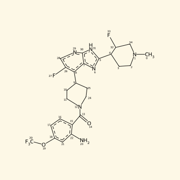 CN1CCC(c2nc3c(C4CCN(C(=O)c5ccc(OC(F)(F)F)cc5N)CC4)c(F)cnc3[nH]2)C(F)C1